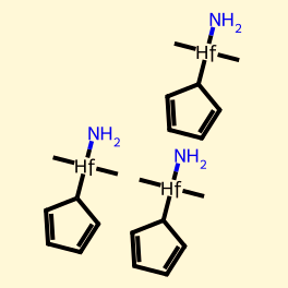 [CH3][Hf]([CH3])([NH2])[CH]1C=CC=C1.[CH3][Hf]([CH3])([NH2])[CH]1C=CC=C1.[CH3][Hf]([CH3])([NH2])[CH]1C=CC=C1